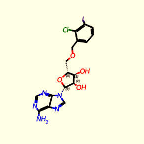 Nc1ncnc2c1ncn2[C@@H]1O[C@H](COCc2cccc(I)c2Cl)[C@@H](O)[C@H]1O